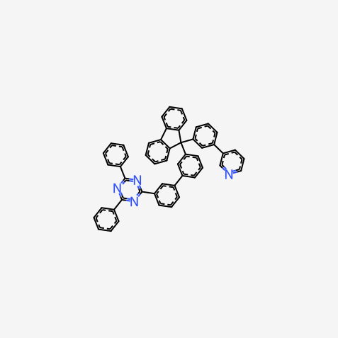 c1ccc(-c2nc(-c3ccccc3)nc(-c3cccc(-c4cccc(C5(c6cccc(-c7cccnc7)c6)c6ccccc6-c6ccccc65)c4)c3)n2)cc1